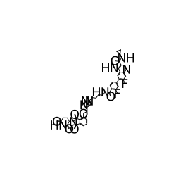 CNc1c(C(=O)NC2CC2)cnc2cc(F)c(-c3ccc(C(=O)NCCCCn4cc(COc5cccc6c5C(=O)N(C5CCC(=O)NC5=O)C6=O)nn4)c(F)c3)cc12